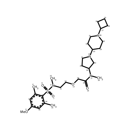 COc1cc(C)c(S(=O)(=O)N(C)CCOCC(=O)N(C)C2CCN(C3CCN(C4CCC4)CC3)C2)c(C)c1